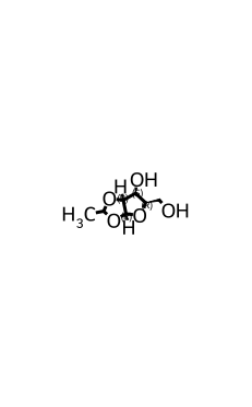 CC1O[C@H]2O[C@H](CO)[C@H](O)[C@H]2O1